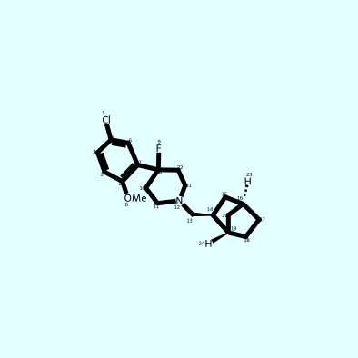 COc1ccc(Cl)cc1C1(F)CCN(C[C@H]2C[C@H]3CC[C@H]2C3)CC1